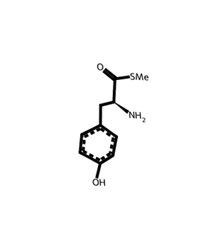 CSC(=O)[C@@H](N)Cc1ccc(O)cc1